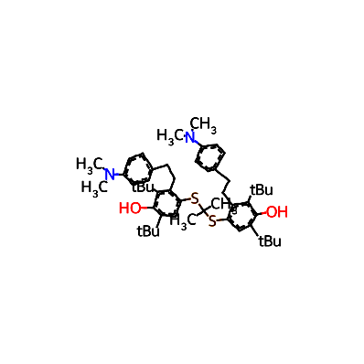 CN(C)c1ccc(CCc2c(SC(C)(C)Sc3cc(C(C)(C)C)c(O)c(C(C)(C)C)c3CCc3ccc(N(C)C)cc3)cc(C(C)(C)C)c(O)c2C(C)(C)C)cc1